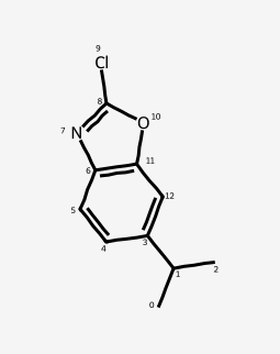 CC(C)c1ccc2nc(Cl)oc2c1